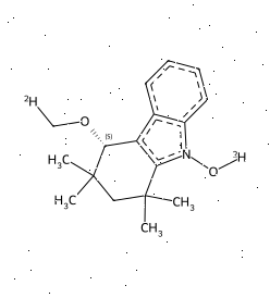 [2H]CO[C@@H]1c2c(n(O[2H])c3ccccc23)C(C)(C)CC1(C)C